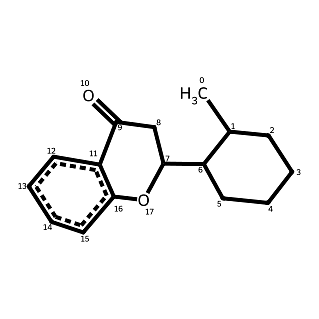 CC1CCCCC1C1CC(=O)c2ccccc2O1